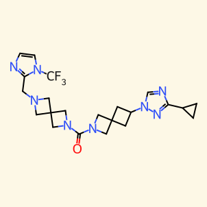 O=C(N1CC2(CC(n3cnc(C4CC4)n3)C2)C1)N1CC2(CN(Cc3nccn3C(F)(F)F)C2)C1